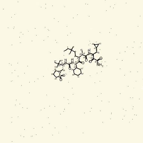 CCC(C)(C)CCN(C(=O)[C@@H](NC(=O)N[C@H](CN1CCCS1(=O)=O)C(C)(C)C)C1CCCCC1)[C@@H](C)C(=O)NC(CC1CC1)C(=O)C(N)=O